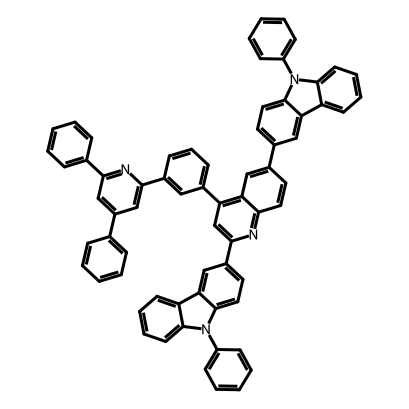 c1ccc(-c2cc(-c3ccccc3)nc(-c3cccc(-c4cc(-c5ccc6c(c5)c5ccccc5n6-c5ccccc5)nc5ccc(-c6ccc7c(c6)c6ccccc6n7-c6ccccc6)cc45)c3)c2)cc1